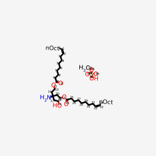 CCCCCCCC/C=C\CCCCCCCC(=O)OCCC(N)(CCO)CCOC(=O)CCCCCCC/C=C\CCCCCCCC.COS(=O)(=O)O